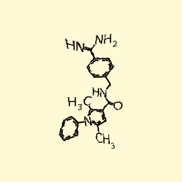 Cc1cc(C(=O)NCc2ccc(C(=N)N)cc2)c(C)n1-c1ccccc1